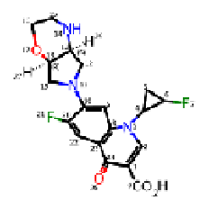 O=C(O)c1cn(C2CC2F)c2cc(N3C[C@@H]4NCCO[C@@H]4C3)c(F)cc2c1=O